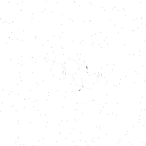 FC(F)(F)c1ccc2c(n1)O[C@H]1CCN[C@@H]2C1